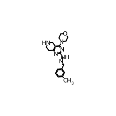 Cc1cccc(/C=N/Nc2nc3c(c(N4CCOCC4)n2)CNCC3)c1